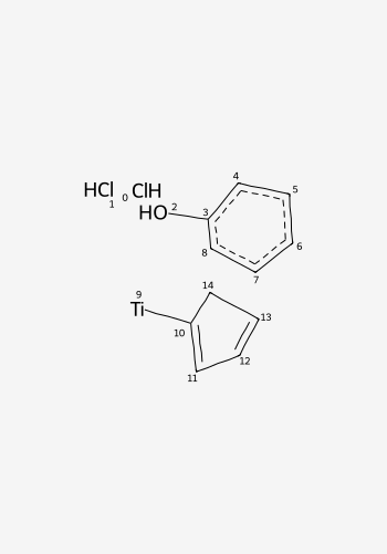 Cl.Cl.Oc1ccccc1.[Ti][C]1=CC=CC1